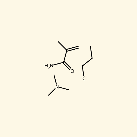 C=C(C)C(N)=O.CCCCl.CN(C)C